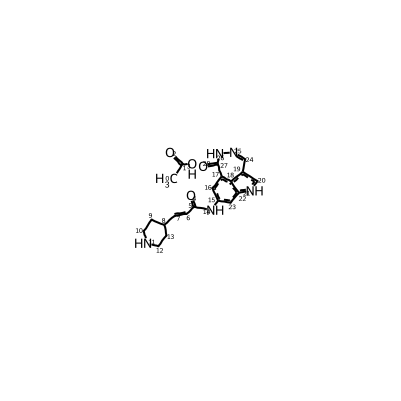 CC(=O)O.O=C(C=CC1CCNCC1)Nc1cc2c3c(c[nH]c3c1)C=NNC2=O